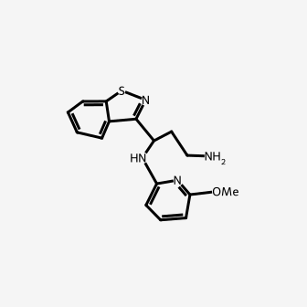 COc1cccc(NC(CCN)c2nsc3ccccc23)n1